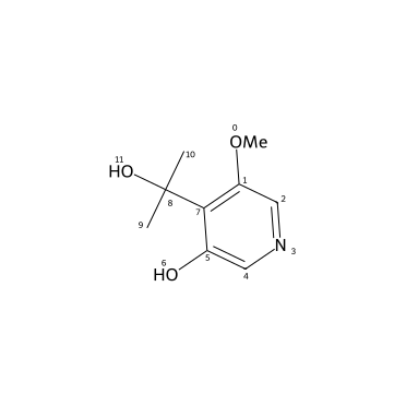 COc1cncc(O)c1C(C)(C)O